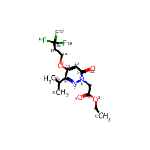 CCOC(=O)Cn1nc(C(C)C)c(OCCC(F)(F)F)cc1=O